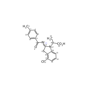 Cc1ccc(C(=O)/N=c2\sc3c(Cl)cccc3n2C(C)C(=O)O)cc1